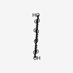 O=C(CSCSCSCCOOCSCSCSCOC(=O)CSCSCSCC(=O)OCCSCO)OCCSCO